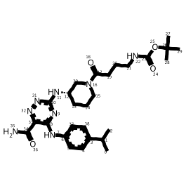 CC(C)c1ccc(Nc2nc(N[C@H]3CCCN(C(=O)CCCNC(=O)OC(C)(C)C)C3)nnc2C(N)=O)cc1